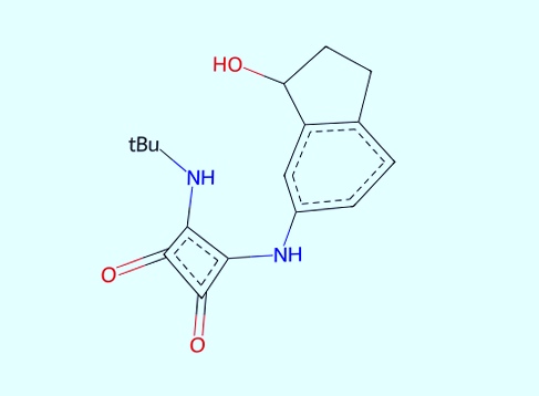 CC(C)(C)Nc1c(Nc2ccc3c(c2)C(O)CC3)c(=O)c1=O